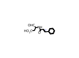 O=CC(CC(=O)O)NC(=O)/C=C/c1ccccc1